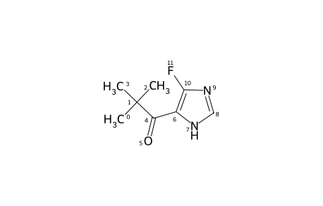 CC(C)(C)C(=O)c1[nH]cnc1F